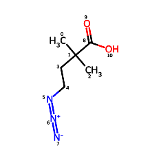 CC(C)(CCN=[N+]=[N-])C(=O)O